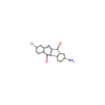 Nc1ccc2c(c1)C(=O)c1nc3cc(Cl)ccc3c(=O)n1-2